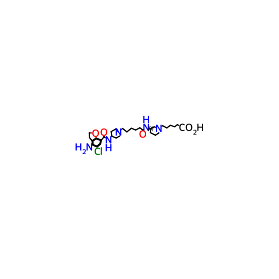 Nc1c(Cl)cc(C(=O)NC2CCN(CCCCCC(=O)N[C@@H]3CCCN(CCCCCC(=O)O)C3)CC2)c2c1CCO2